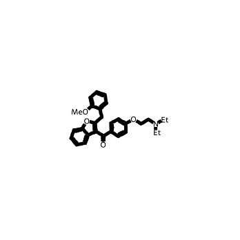 CCN(CC)CCOc1ccc(C(=O)c2c(Cc3ccccc3OC)oc3ccccc23)cc1